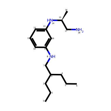 CCCC(CCC)CNc1cccc(N[C@@H](C)CN)c1